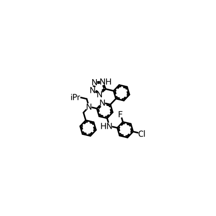 CC(C)CN(Cc1ccccc1)c1cc(Nc2ccc(Cl)cc2F)cc(-c2ccccc2-c2nnn[nH]2)n1